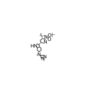 CN(c1ccc2c(-c3cnc4c(c3)C3(CC3)CN4C(=O)OC(C)(C)C)c[nH]c2c1)c1cnn(C)c1